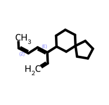 C=C/C(=C\C=C/C)C1CCCC2(CCCC2)C1